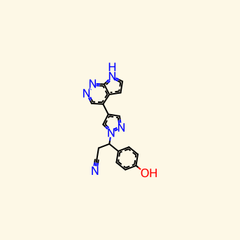 N#CCC(c1ccc(O)cc1)n1cc(-c2cnnc3[nH]ccc23)cn1